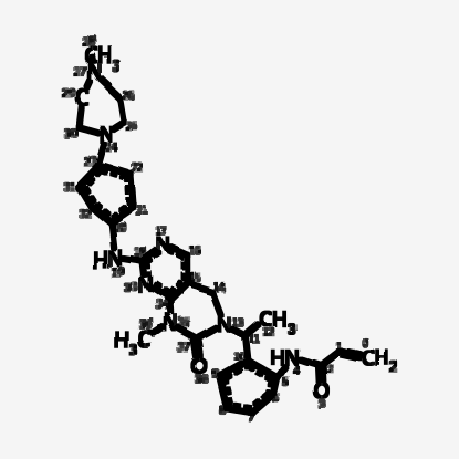 C=CC(=O)Nc1ccccc1C(C)N1Cc2cnc(Nc3ccc(N4CCN(C)CC4)cc3)nc2N(C)C1=O